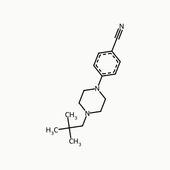 CC(C)(C)CN1CCN(c2ccc(C#N)cc2)CC1